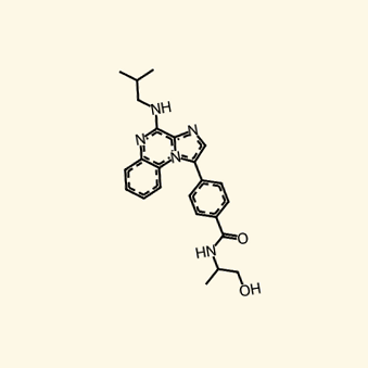 CC(C)CNc1nc2ccccc2n2c(-c3ccc(C(=O)NC(C)CO)cc3)cnc12